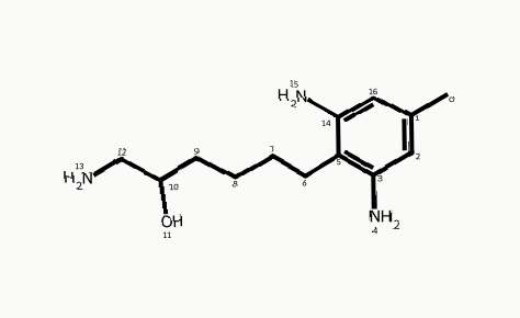 Cc1cc(N)c(CCCCC(O)CN)c(N)c1